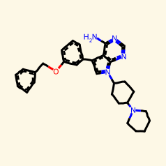 Nc1ncnc2c1c(-c1cccc(OCc3ccccc3)c1)cn2C1CCC(N2CCCCC2)CC1